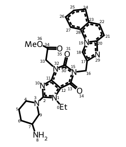 CCn1c(N2CCCC(N)C2)nc2c1c(=O)n(Cc1cn3c(ccc4ccccc43)n1)c(=O)n2CC(=O)OC